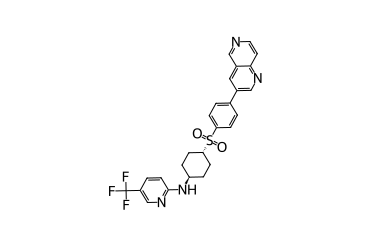 O=S(=O)(c1ccc(-c2cnc3ccncc3c2)cc1)[C@H]1CC[C@H](Nc2ccc(C(F)(F)F)cn2)CC1